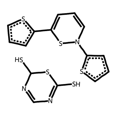 C1=CN(c2cccs2)SC(c2cccs2)=C1.SC1=NC=NC(S)S1